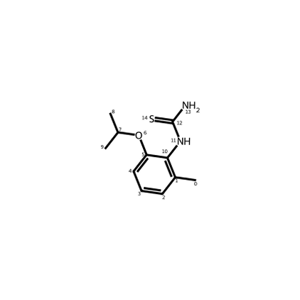 Cc1cccc(OC(C)C)c1NC(N)=S